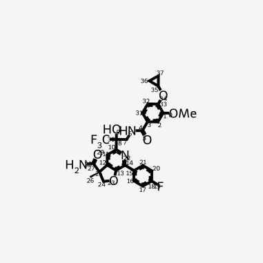 COc1cc(C(=O)NCC(O)(c2cc3c(c(-c4ccc(F)cc4)n2)OC[C@]3(C)C(N)=O)C(F)(F)F)ccc1OC1CC1